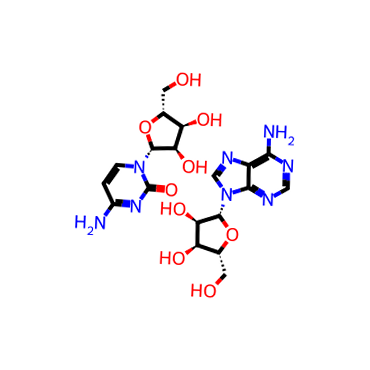 Nc1ccn([C@@H]2O[C@H](CO)[C@@H](O)[C@H]2O)c(=O)n1.Nc1ncnc2c1ncn2[C@@H]1O[C@H](CO)[C@@H](O)[C@H]1O